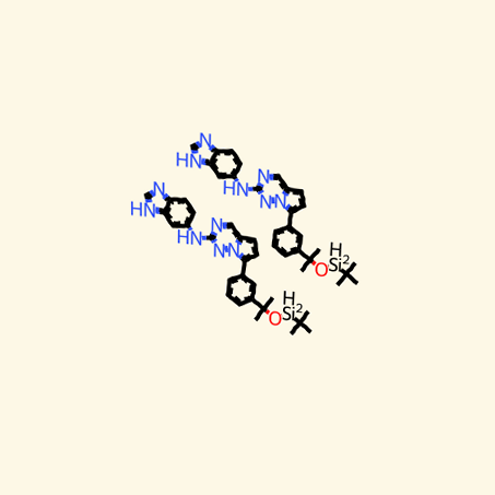 CC(C)(C)[SiH2]OC(C)(C)c1cccc(-c2ccc3cnc(Nc4ccc5nc[nH]c5c4)nn23)c1.CC(C)(C)[SiH2]OC(C)(C)c1cccc(-c2ccc3cnc(Nc4ccc5nc[nH]c5c4)nn23)c1